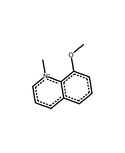 COc1cccc2ccc[n+](C)c12